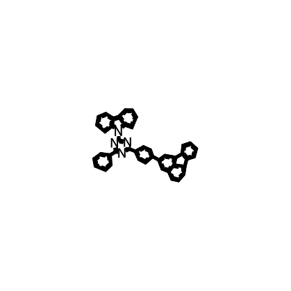 c1ccc(-c2nc(-c3ccc(-c4cc5c6c(cccc6c4)-c4ccccc4-5)cc3)nc(-n3c4ccccc4c4ccccc43)n2)cc1